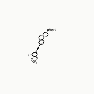 CCCCCCCC1CCC2c3ccc(C#Cc4cc(F)c(OC(F)(F)F)c(F)c4)cc3CCC2C1